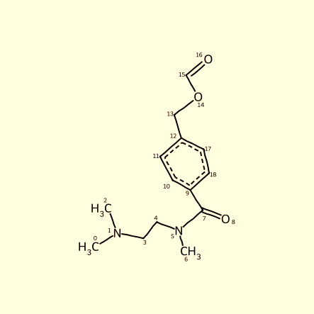 CN(C)CCN(C)C(=O)c1ccc(COC=O)cc1